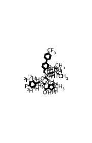 [2H]c1c([2H])c(C([2H])([2H])Sc2nc(=O)c3c(n2CC(=O)N(Cc2ccc(-c4ccc(C(F)(F)F)cc4)cc2)C([2H])([2H])C([2H])([2H])N(C([2H])([2H])C)C([2H])([2H])C)C([2H])([2H])C([2H])(C)C3([2H])[2H])c([2H])c([2H])c1F